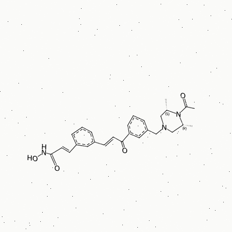 CC(=O)N1[C@H](C)CN(Cc2cccc(C(=O)C=Cc3cccc(C=CC(=O)NO)c3)c2)C[C@@H]1C